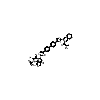 COC(=O)N[C@H](C(=O)N1[C@H](c2ncc(-c3ccc(-c4ccc(-c5cnc([C@@H]6C[C@@]7(CCCOC7)CN6C(=O)[C@@H](C)C(C)C)[nH]5)cc4)cc3)[nH]2)C[C@@H]2COC[C@@H]21)C(C)C